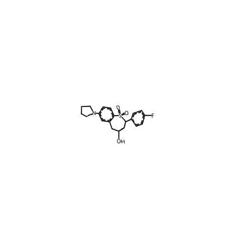 O=S1(=O)c2ccc(N3CCCC3)cc2CC(O)CC1c1ccc(F)cc1